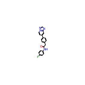 O=C(Cc1ccc(-c2ccn3ncnc3c2)cc1)Nc1ccc(F)cc1